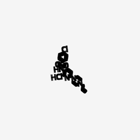 C=CCN1CCN(c2ccc(NS(=O)(=O)c3ccc(Cl)cc3)cn2)CC1.Cl